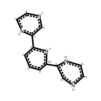 c1cc(-c2cnccn2)nc(-c2cnccn2)c1